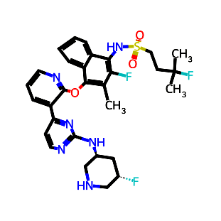 Cc1c(F)c(NS(=O)(=O)CCC(C)(C)F)c2ccccc2c1Oc1ncccc1-c1ccnc(N[C@@H]2CNC[C@@H](F)C2)n1